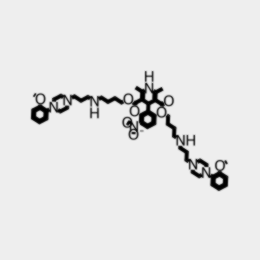 COc1ccccc1N1CCN(CCCNCCCCOC(=O)C2=C(C)NC(C)=C(C(=O)OCCCCNCCCN3CCN(c4ccccc4OC)CC3)C2c2cccc([N+](=O)[O-])c2)CC1